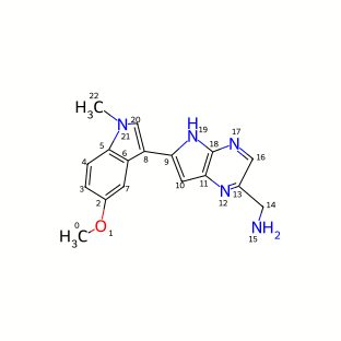 COc1ccc2c(c1)c(-c1cc3nc(CN)cnc3[nH]1)cn2C